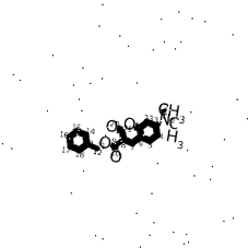 CN(C)c1ccc2cc(C(=O)OCc3ccccc3)c(=O)oc2c1